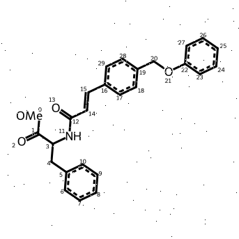 COC(=O)C(Cc1ccccc1)NC(=O)/C=C/c1ccc(COc2ccccc2)cc1